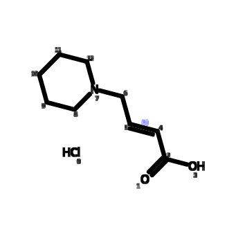 Cl.O=C(O)/C=C/CN1CCCCC1